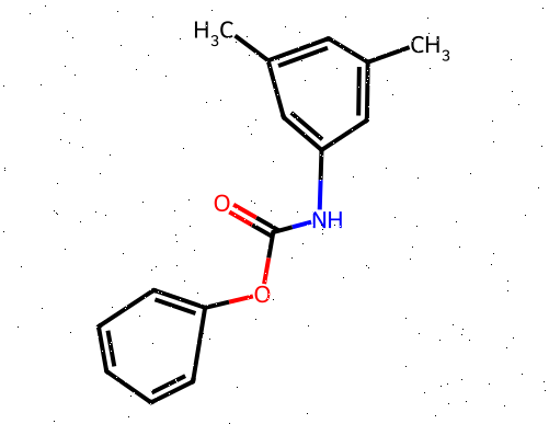 Cc1cc(C)cc(NC(=O)Oc2ccccc2)c1